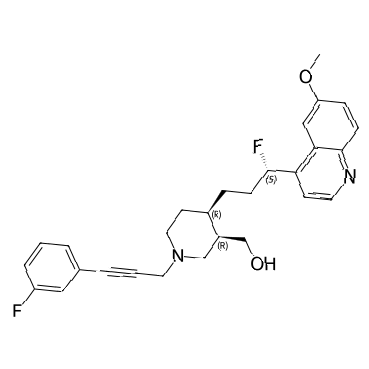 COc1ccc2nccc([C@@H](F)CC[C@@H]3CCN(CC#Cc4cccc(F)c4)C[C@@H]3CO)c2c1